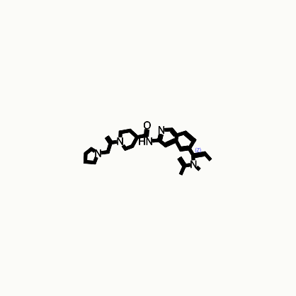 C=C(CN1CCCC1)N1CCC(C(=O)Nc2cc3cc(/C(=C/C)N(C)C(=C)C)ccc3cn2)CC1